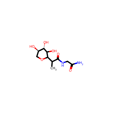 CC(C(=O)NCC(N)=O)C1OC[C@@H](O)[C@H](O)C1O